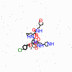 CS(=O)(=O)N[C@H](CCC1CCNCC1)C(=O)N1C[C@H](OCc2ccc(Cl)cc2)C[C@H]1C(=O)N[C@@H](CC1CC1)C(=O)C(=O)NCCC1CCOCC1